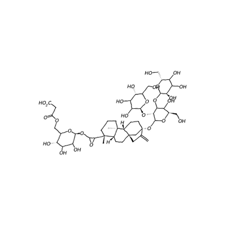 C=C1C[C@@]23CC[C@H]4[C@@](C)(CCC[C@@]4(C)C4OC4O[C@@H]4OC(COC(=O)CC(=O)O)[C@@H](O)C(O)C4O)[C@@H]2CC[C@]1(OC1O[C@H](CO)C(O)C(OC2O[C@H](CO)C(O)C(O)[C@H]2O)[C@H]1O[C@@H]1OC(CO)[C@@H](O)C(O)C1O)C3